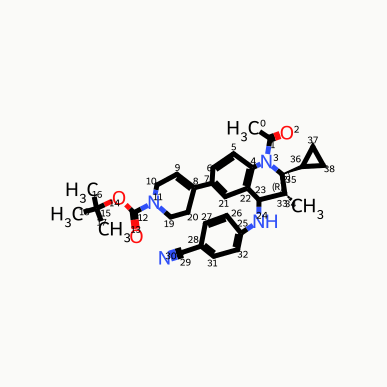 CC(=O)N1c2ccc(C3=CCN(C(=O)OC(C)(C)C)CC3)cc2C(Nc2ccc(C#N)cc2)[C@@H](C)[C@@H]1C1CC1